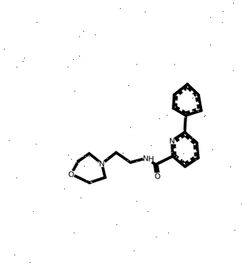 O=C(NCCN1CCOCC1)c1cccc(-c2ccccc2)n1